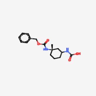 C[C@]1(NC(=O)OCc2ccccc2)CCCC(NC(=O)O)C1